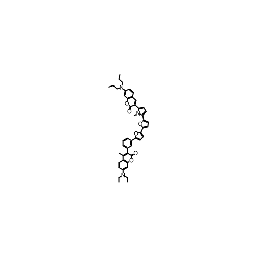 CCCN(CCC)c1ccc2cc(-c3ccc(-c4ccc(-c5ccc(-c6cccc(-c7c(C)c8ccc(N(CC)CC)cc8oc7=O)c6)o5)o4)n3C)c(=O)oc2c1